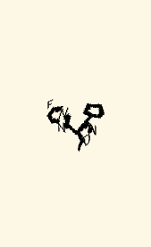 Cc1onc(-c2ccccc2)c1-c1cn2cc(F)ccc2n1